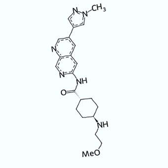 COCCN[C@H]1CC[C@H](C(=O)Nc2cc3cc(-c4cnn(C)c4)cnc3cn2)CC1